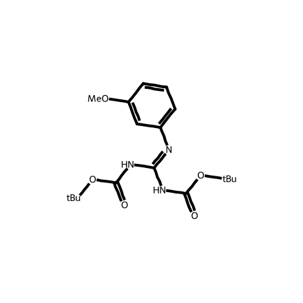 COc1cccc(N=C(NC(=O)OC(C)(C)C)NC(=O)OC(C)(C)C)c1